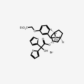 CCOC(=O)COc1cccc(C[N+]2(C)[C@@H]3CC[C@H]2C[C@H](OC(=O)C(O)(c2cccs2)c2cccs2)C3)c1.[Br-]